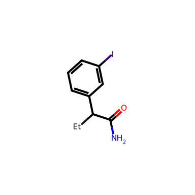 CCC(C(N)=O)c1cccc(I)c1